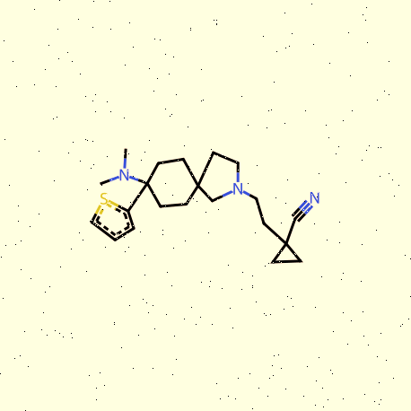 CN(C)C1(c2cccs2)CCC2(CCN(CCC3(C#N)CC3)C2)CC1